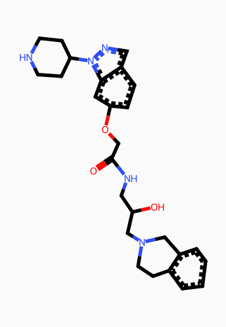 O=C(COc1ccc2cnn(C3CCNCC3)c2c1)NCC(O)CN1CCc2ccccc2C1